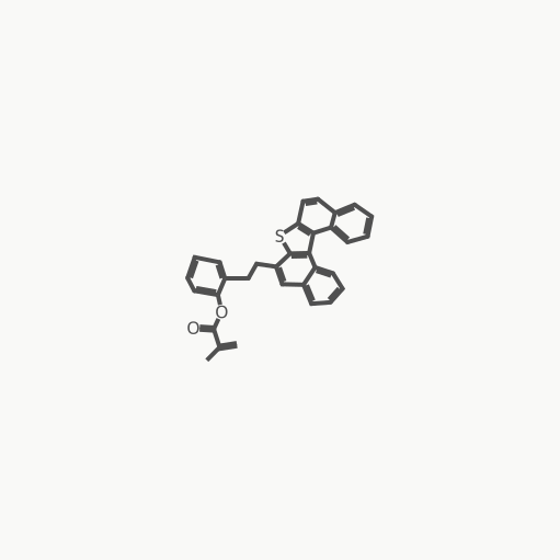 C=C(C)C(=O)Oc1ccccc1CCc1cc2ccccc2c2c1sc1ccc3ccccc3c12